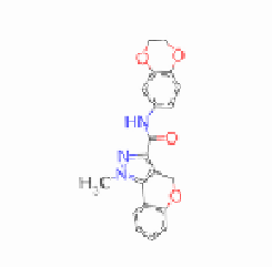 Cn1nc(C(=O)Nc2ccc3c(c2)OCCO3)c2c1-c1ccccc1OC2